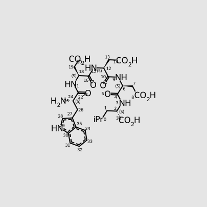 CC(C)C[C@H](NC(=O)[C@H](CC(=O)O)NC(=O)[C@H](CC(=O)O)NC(=O)[C@H](CC(=O)O)NC(=O)[C@@H](N)Cc1c[nH]c2ccccc12)C(=O)O